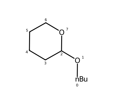 [CH2]CCCOC1CCCCO1